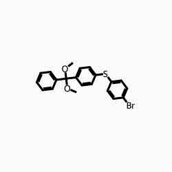 COC(OC)(c1ccccc1)c1ccc(Sc2ccc(Br)cc2)cc1